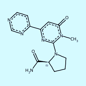 Cn1c(N2CCC[C@H]2C(N)=O)nc(-c2ccncn2)cc1=O